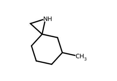 CC1CCCC2(CN2)C1